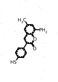 Cc1cc(P)c2oc(=O)c(-c3ccc(S)cc3)cc2c1